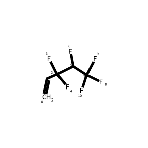 C=CC(F)(F)C(F)C(F)(F)F